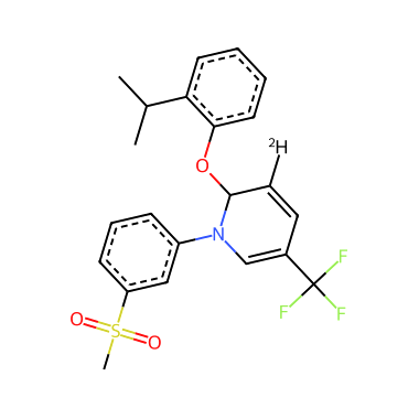 [2H]C1=CC(C(F)(F)F)=CN(c2cccc(S(C)(=O)=O)c2)C1Oc1ccccc1C(C)C